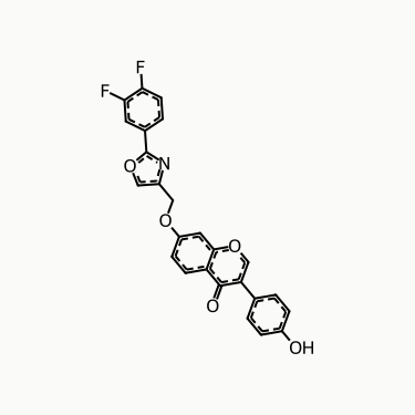 O=c1c(-c2ccc(O)cc2)coc2cc(OCc3coc(-c4ccc(F)c(F)c4)n3)ccc12